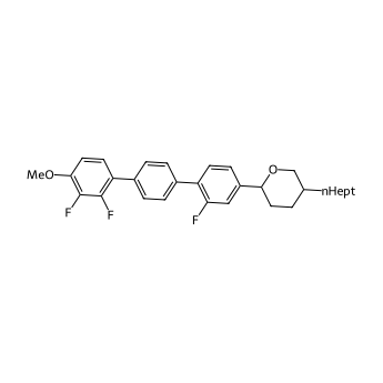 CCCCCCCC1CCC(c2ccc(-c3ccc(-c4ccc(OC)c(F)c4F)cc3)c(F)c2)OC1